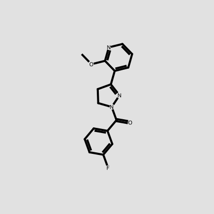 COc1ncccc1C1=NN(C(=O)c2cccc(F)c2)CC1